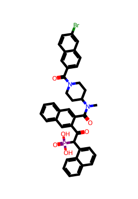 CN(C(=O)c1cc2ccccc2cc1C(=O)C(c1cccc2ccccc12)P(=O)(O)O)C1CCN(C(=O)c2ccc3cc(Br)ccc3c2)CC1